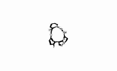 Fc1ccc2cc1-c1cnn3ccc(nc13)NCCN1CCC=C[C@H]1CO2